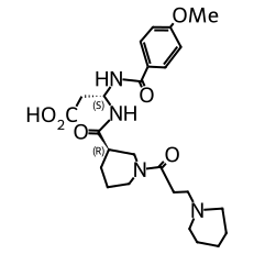 COc1ccc(C(=O)N[C@@H](CC(=O)O)NC(=O)[C@@H]2CCCN(C(=O)CCN3CCCCC3)C2)cc1